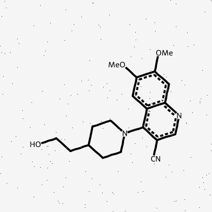 COc1cc2ncc(C#N)c(N3CCC(CCO)CC3)c2cc1OC